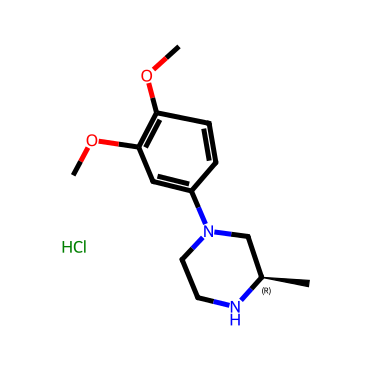 COc1ccc(N2CCN[C@H](C)C2)cc1OC.Cl